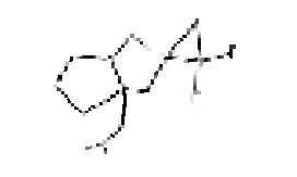 OCC12CCCN1C[C@]1(C2)CC1(F)F